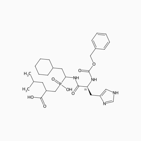 CC(C)CC(CP(=O)(O)C(CC1CCCCC1)NC(=O)[C@H](Cc1c[nH]cn1)NC(=O)OCc1ccccc1)C(=O)O